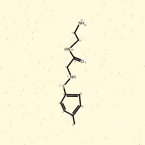 Cc1ccc(SNCC(=O)NCCN)cc1